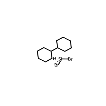 Br[SiH2]Br.C1CCC(C2CCCCC2)CC1